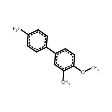 Cc1cc(-c2ccc(C(F)(F)F)cc2)ccc1OC(F)(F)F